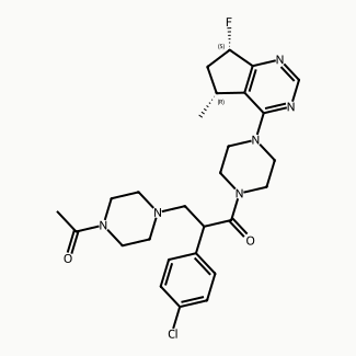 CC(=O)N1CCN(CC(C(=O)N2CCN(c3ncnc4c3[C@H](C)C[C@@H]4F)CC2)c2ccc(Cl)cc2)CC1